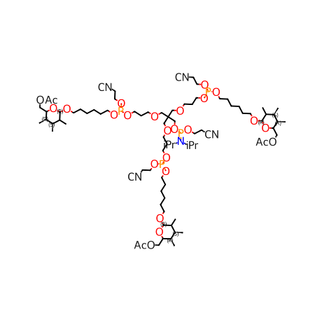 [C-]#[N+]CCOP(OCCCCCCO[C@@H]1OC(COC(C)=O)[C@H](C)[C@H](C)C1C)OCCCOCC(COCCCOP(OCCCCCCO[C@@H]1OC(COC(C)=O)[C@H](C)[C@H](C)C1C)OCC[N+]#[C-])(COCCCOP(OCCCCCCO[C@@H]1OC(COC(C)=O)[C@H](C)[C@H](C)C1C)OCC[N+]#[C-])COP(OCCC#N)N(C(C)C)C(C)C